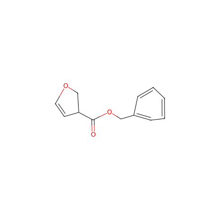 O=C(OCc1ccccc1)C1C=COC1